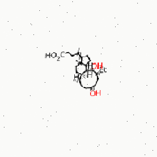 CC[C@@H]1CC[C@H](O)CC[C@H](C)[C@H]2CC[C@]3(C)[C@@H]([C@H](C)CCC(=O)O)CC[C@H]3[C@@H]2[C@@H]1O